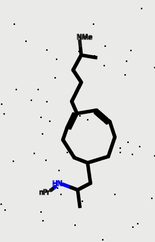 CCCNC(C)CC1CCC=C/C(CCCC(C)NC)=C\CC1